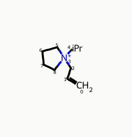 C=CC[N+]1(C(C)C)CCCC1